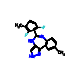 Cc1ccc2c(c1)-c1n[nH]cc1NC(c1c(F)ccc(C)c1F)=N2